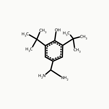 CC(C)(C)c1cc(C(N)N)cc(C(C)(C)C)c1O